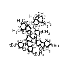 Cc1cc2c3c(c1)N(c1ccc4c(c1)C(C)(C)CCC4(C)C)c1cc4c(cc1B3c1ccc(N(c3ccc(C(C)(C)C)cc3C)c3ccc(C(C)(C)C)cc3C)cc1N2c1ccc2c(c1)-c1ccc(C(C)(C)C)cc1C2(C)C)C(C)(C)CCC4(C)C